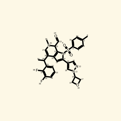 Cc1ccc(S(=O)(=O)n2c(-c3cnn(C4COC4)c3)cc3c2C(C=O)N(C)C=C3C(C)c2cccc(F)c2F)cc1